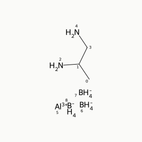 CC(N)CN.[Al+3].[BH4-].[BH4-].[BH4-]